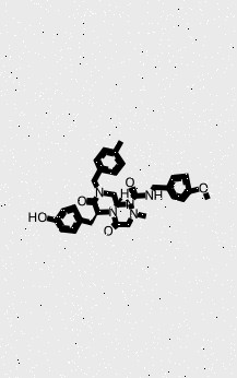 COc1ccc(CNC(=O)N2[C@H]3CN(Cc4ccc(C)cc4)C(=O)[C@H](Cc4ccc(O)cc4)N3C(=O)CN2C)cc1